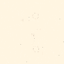 COc1cc(F)ccc1OC[C@@H](O)CN1CCC2(CC1)Cc1cc(Cl)ccc1O2